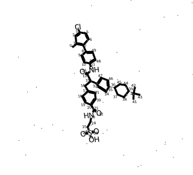 Cc1cc(Cl)ccc1-c1ccc(NC(=O)C(Cc2ccc(C(=O)NCCS(=O)(=O)O)cc2)c2ccc([C@H]3CC[C@@H](C(C)(C)C)CC3)cc2)cc1